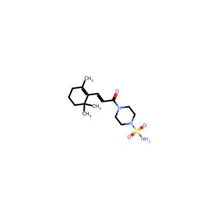 CC1=C(C=CC(=O)N2CCN(S(N)(=O)=O)CC2)C(C)(C)CCC1